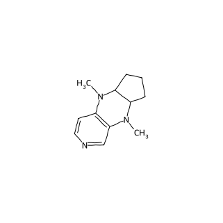 CN1c2ccncc2N(C)C2CCCC21